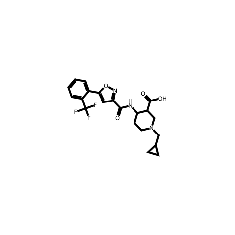 O=C(NC1CCN(CC2CC2)CC1C(=O)O)c1cc(-c2ccccc2C(F)(F)F)on1